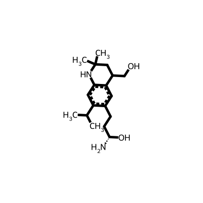 CC(C)c1cc2c(cc1CC[C@@H](N)O)C(CO)CC(C)(C)N2